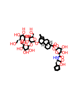 C=C1CC23CC[C@H]4[C@@](C)(CCC[C@@]4(C)C(=O)OC4O[C@H](C(=O)N[C@H](Cc5ccccc5)C(=O)O)[C@@H](O)[C@H](O)[C@H]4O)[C@@H]2CC(O[C@@H]2O[C@H](CO)[C@@H](O)C(O[C@@H]4O[C@H](CCO)[C@@H](O)[C@H](O)[C@H]4O)[C@H]2O[C@@H]2O[C@H](CO)[C@@H](O)[C@H](O)[C@H]2O)C1C3